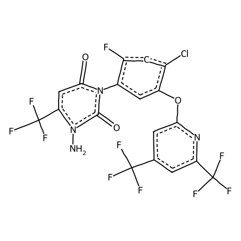 Nn1c(C(F)(F)F)cc(=O)n(-c2cc(Oc3cc(C(F)(F)F)cc(C(F)(F)F)n3)c(Cl)cc2F)c1=O